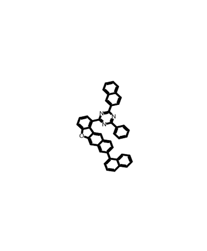 c1ccc(-c2nc(-c3ccc4ccccc4c3)nc(-c3cccc4oc5cc6cc(-c7cccc8ccccc78)ccc6cc5c34)n2)cc1